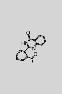 CC(=O)c1ccccc1-c1nc2ccccc2c(=O)[nH]1